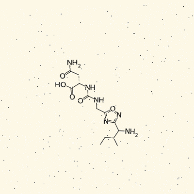 CCC(C)C(N)c1noc(CNC(=O)N[C@@H](CC(N)=O)C(=O)O)n1